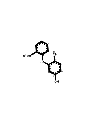 CCCCCc1ccccc1Oc1cc(O)ccc1O